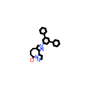 O=C1CCCc2cn(-c3cc(-c4ccccc4)cc(-c4ccccc4)c3)nc2-c2ccnn21